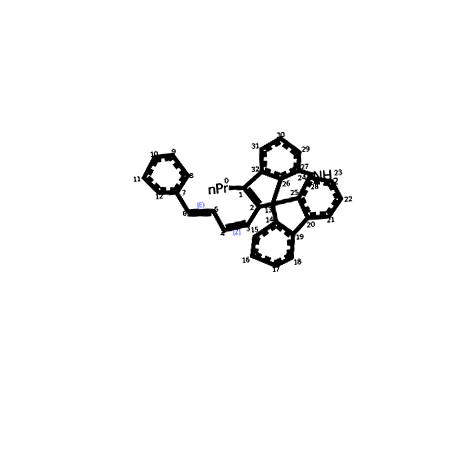 CCCC1=C(/C=C\C=C\c2ccccc2)C2(c3ccccc3-c3ccccc32)c2c(N)cccc21